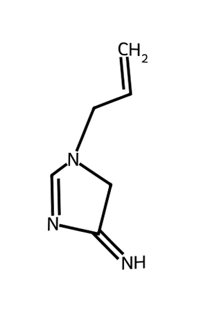 C=CCN1C=NC(=N)C1